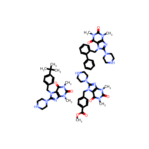 COC(=O)c1ccc(Cn2c(N3CCNCC3)nc3c2c(=O)n(C)c(=O)n3C)cc1.Cn1c(=O)c2c(nc(N3CCNCC3)n2Cc2ccc(C(C)(C)C)cc2)n(C)c1=O.Cn1c(=O)c2c(nc(N3CCNCC3)n2Cc2ccccc2-c2ccccc2)n(C)c1=O